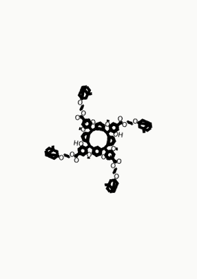 COc1cc(O)c2cc1C(c1ccc(C(=O)OCCOC34CC5CC(CC(C)(C5)C3)C4)cc1)c1cc(c(OC)cc1O)C(c1ccc(C(=O)OCCOC34CC5CC(CC(C)(C5)C3)C4)cc1)c1cc(c(OC)cc1O)C(c1ccc(C(=O)OCCOC34CC5CC(CC(C)(C5)C3)C4)cc1)c1cc(c(OC)cc1O)C2c1ccc(C(=O)OCCOC23CC4CC(CC(C)(C4)C2)C3)cc1